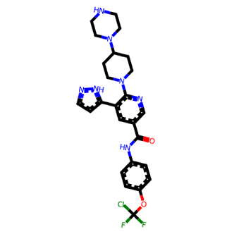 O=C(Nc1ccc(OC(F)(F)Cl)cc1)c1cnc(N2CCC(N3CCNCC3)CC2)c(-c2ccn[nH]2)c1